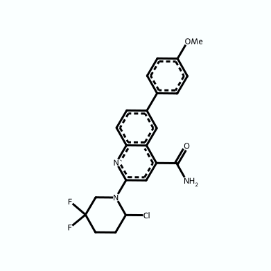 COc1ccc(-c2ccc3nc(N4CC(F)(F)CCC4Cl)cc(C(N)=O)c3c2)cc1